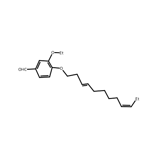 CC/C=C\CCCC/C=C/CCOc1ccc(C=O)cc1OCC